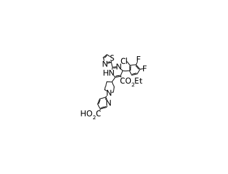 CCOC(=O)C1=C(C2CCN(c3ccc(C(=O)O)cn3)CC2)NC(c2nccs2)=NC1c1ccc(F)c(F)c1Cl